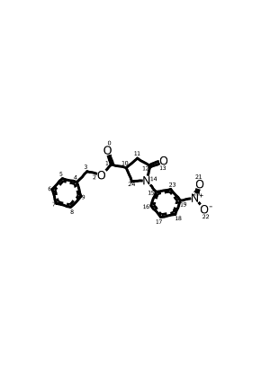 O=C(OCc1ccccc1)C1CC(=O)N(c2cccc([N+](=O)[O-])c2)C1